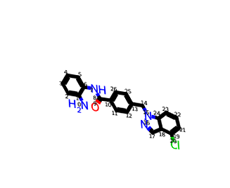 Nc1ccccc1NC(=O)c1ccc(CN2N=CC3C(Cl)=CC=CC32)cc1